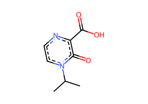 CC(C)n1ccnc(C(=O)O)c1=O